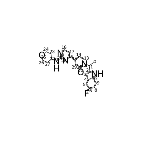 CC(c1cc2cc(F)ccc2[nH]1)n1ccc(-c2ccnc(NC3CCOCC3)n2)cc1=O